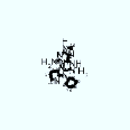 C[C@H](Nc1nc(N)nc2[nH]cnc12)c1nc2cccnc2n1-c1ccccc1